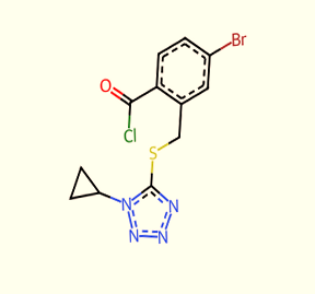 O=C(Cl)c1ccc(Br)cc1CSc1nnnn1C1CC1